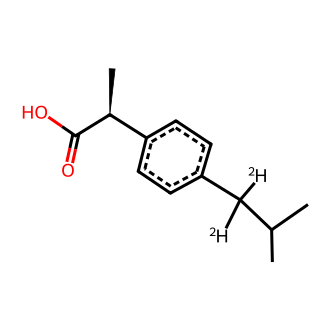 [2H]C([2H])(c1ccc([C@H](C)C(=O)O)cc1)C(C)C